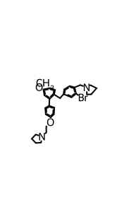 COc1ccc(Cc2ccc(CN3CCCC3)c(Br)c2)c(-c2ccc(OCCN3CCCC3)cc2)c1